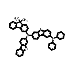 CC1(C)c2ccccc2-c2cc(N(c3ccc4c(c3)oc3ccccc34)c3ccc4c(c3)sc3ccc(N(c5ccccc5)c5ccccc5)cc34)ccc21